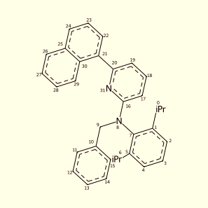 CC(C)c1cccc(C(C)C)c1N(Cc1ccccc1)c1cccc(-c2cccc3ccccc23)n1